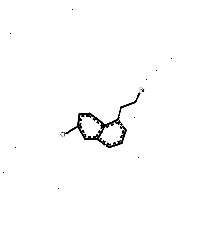 Clc1ccc2c(CCBr)cccc2c1